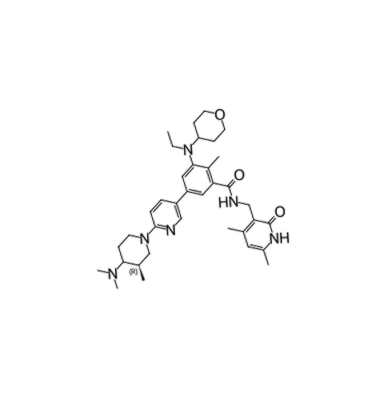 CCN(c1cc(-c2ccc(N3CCC(N(C)C)[C@H](C)C3)nc2)cc(C(=O)NCc2c(C)cc(C)[nH]c2=O)c1C)C1CCOCC1